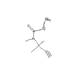 C#CC(C)(C)N(C)C(=O)OC(C)(C)C